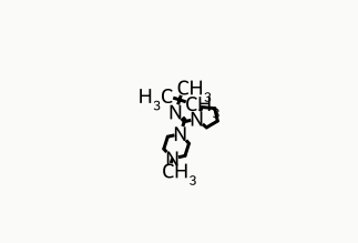 CN1CCN(C(=NC(C)(C)C)N2CCCC2)CC1